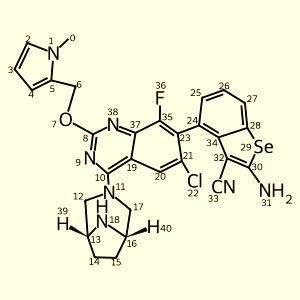 Cn1cccc1COc1nc(N2C[C@H]3CC[C@@H](C2)N3)c2cc(Cl)c(-c3cccc4[se]c(N)c(C#N)c34)c(F)c2n1